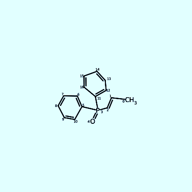 C/C=C/P(=O)(c1ccccc1)c1ccccc1